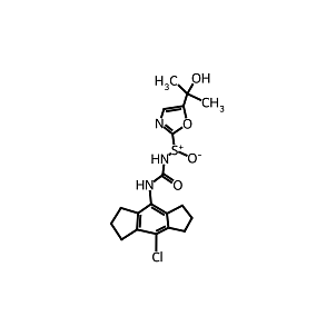 CC(C)(O)c1cnc([S+]([O-])NC(=O)Nc2c3c(c(Cl)c4c2CCC4)CCC3)o1